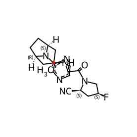 CC1(NCC(=O)N2C[C@@H](F)C[C@H]2C#N)C[C@H]2CC[C@@H](C1)N2c1cnccn1